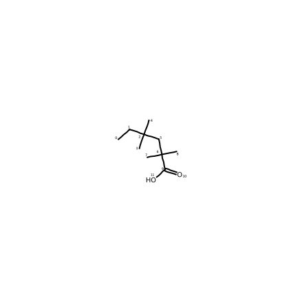 CCC(C)(C)CC(C)(C)C(=O)O